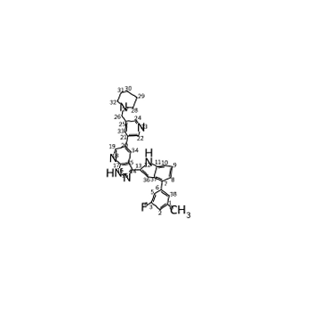 Cc1cc(F)cc(-c2cccc3[nH]c(-c4n[nH]c5ncc(-c6cncc(CN7CCCCC7)c6)cc45)cc23)c1